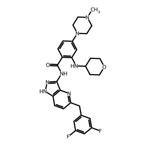 CN1CCN(c2ccc(C(=O)Nc3n[nH]c4ccc(Cc5cc(F)cc(F)c5)nc34)c(NC3CCOCC3)c2)CC1